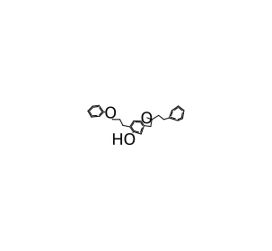 Oc1cc2c(cc1CCCOc1ccccc1)OC(CCc1ccccc1)C2